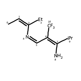 C\C=C(CC)/N=C\C(=C(/N)C(C)C)C(F)(F)F